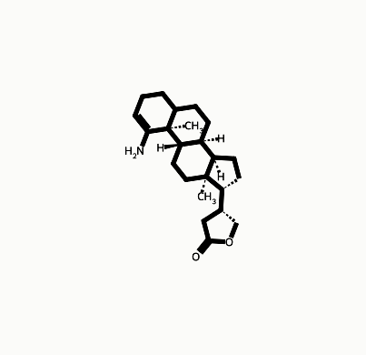 C[C@]12CC[C@H]3[C@@H](CCC4CCC=C(N)[C@@]43C)[C@H]1CC[C@@H]2[C@@H]1COC(=O)C1